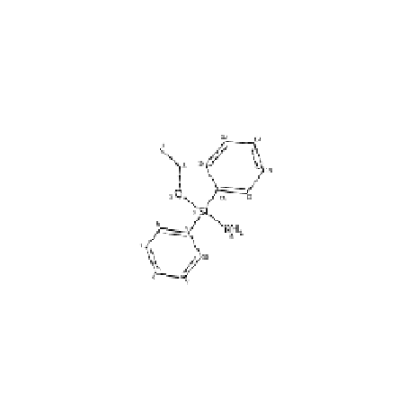 CCO[Si](N)(c1ccccc1)c1ccccc1